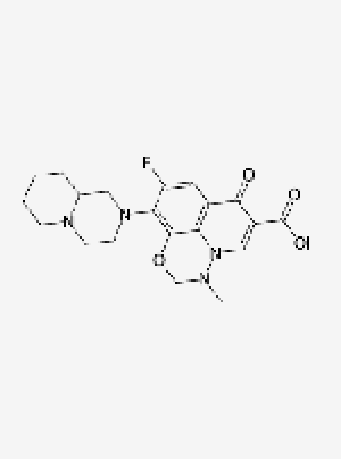 CN1COc2c(N3CCN4CCCCC4C3)c(F)cc3c(=O)c(C(=O)O)cn1c23